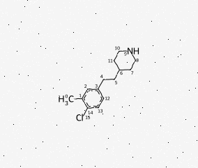 Cc1cc(CCC2CCNCC2)ccc1Cl